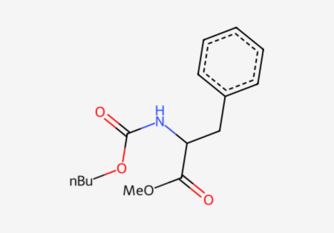 CCCCOC(=O)NC(Cc1ccccc1)C(=O)OC